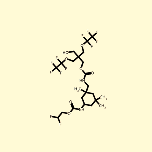 CC1(C)CC(NC(=O)OCC(F)F)CC(C)(CNC(=O)OCC(CO)(COC(F)(F)C(F)(F)F)COC(F)(F)C(F)(F)F)C1